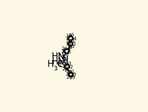 CN/C(=N\C(=N)c1ccc(-c2ccc3ccccc3c2)cc1)c1ccc(-c2ccccc2)cc1